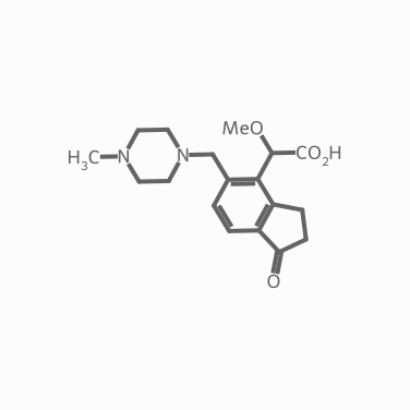 COC(C(=O)O)c1c(CN2CCN(C)CC2)ccc2c1CCC2=O